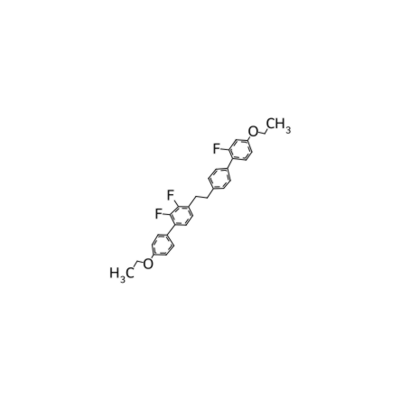 CCOc1ccc(-c2ccc(CCc3ccc(-c4ccc(OCC)cc4F)cc3)c(F)c2F)cc1